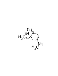 C=CC1(NC)C=CC=C(NC)C1